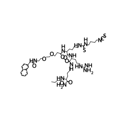 CCCC(=O)NC(CCCCNC(=O)C(CCCNC(=N)N)NC(=O)C(CCCCNC(=S)NCCCCN=C=S)NC(=O)CCOCCOCCNC(=O)Cc1ccc2ccccc2c1)C(N)=O